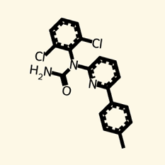 Cc1ccc(-c2cccc(N(C(N)=O)c3c(Cl)cccc3Cl)n2)cc1